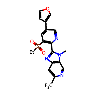 CCS(=O)(=O)c1cc(-c2ccoc2)cnc1-c1nc2cc(C(F)(F)F)ncc2n1C